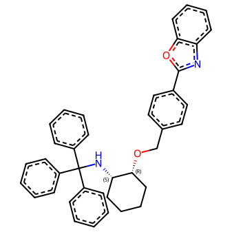 c1ccc(C(N[C@H]2CCCC[C@H]2OCc2ccc(-c3nc4ccccc4o3)cc2)(c2ccccc2)c2ccccc2)cc1